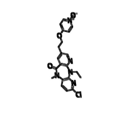 CCN1c2ncc(CCOc3cc[n+]([O-])cc3)cc2C(=O)N(C)c2ccc(Cl)nc21